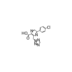 O=C(O)c1ncc(-c2ccc(Cl)cc2)nc1Cn1ncnn1